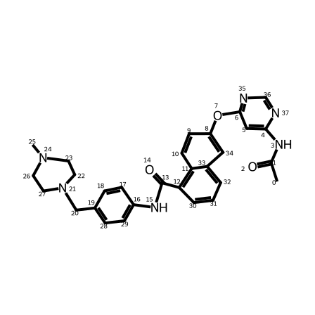 CC(=O)Nc1cc(Oc2ccc3c(C(=O)Nc4ccc(CN5CCN(C)CC5)cc4)cccc3c2)ncn1